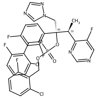 C[C@@H](c1ncncc1F)[C@@](Cn1cncn1)(OP(=O)(OCc1c(F)cccc1Cl)OCc1c(F)cccc1Cl)c1ccc(F)cc1F